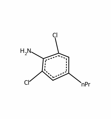 CCCc1cc(Cl)c(N)c(Cl)c1